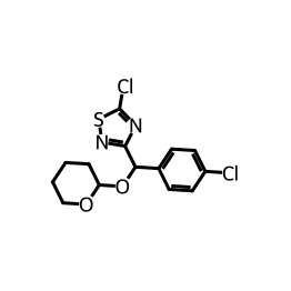 Clc1ccc(C(OC2CCCCO2)c2nsc(Cl)n2)cc1